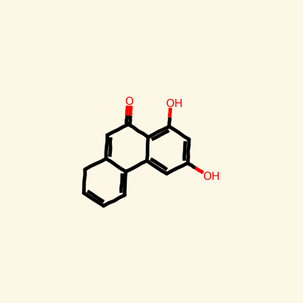 O=C1C=C2CC=CC=C2c2cc(O)cc(O)c21